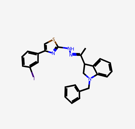 C/C(=N\Nc1nc(-c2cccc(I)c2)cs1)C1CN(Cc2ccccc2)c2ccccc21